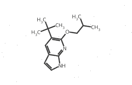 CC(C)COc1nc2[nH]ccc2cc1C(C)(C)C